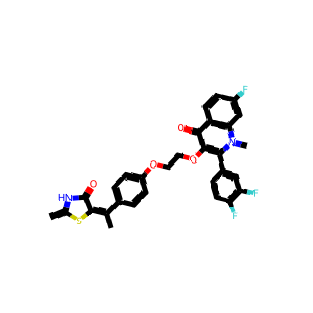 C=c1[nH]c(=O)/c(=C(/C)c2ccc(OCCOc3c(-c4ccc(F)c(F)c4)n(C)c4cc(F)ccc4c3=O)cc2)s1